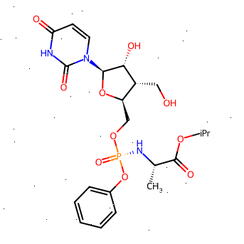 CC(C)OC(=O)[C@H](C)N[P@](=O)(OC[C@H]1O[C@@H](n2ccc(=O)[nH]c2=O)[C@H](O)[C@@H]1CO)Oc1ccccc1